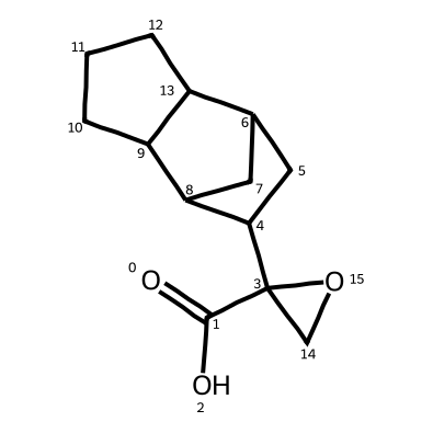 O=C(O)C1(C2CC3CC2C2CCCC32)CO1